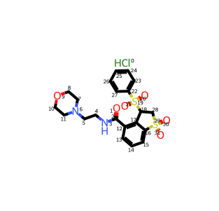 Cl.O=C(NCCN1CCOCC1)c1cccc2c1C(S(=O)(=O)c1ccccc1)CS2(=O)=O